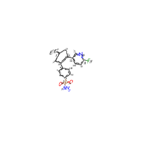 CCC1CC(c2ccc(S(N)(=O)=O)cc2)=C(c2ccc(F)nc2)C1